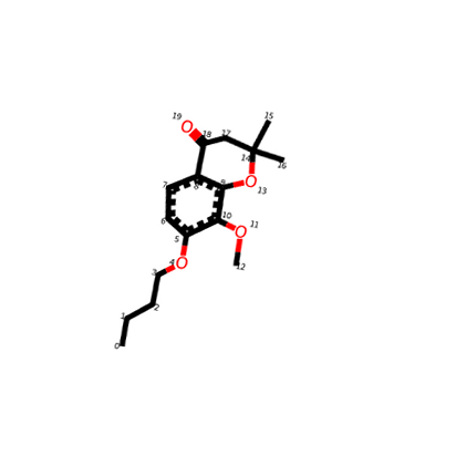 CCCCOc1ccc2c(c1OC)OC(C)(C)CC2=O